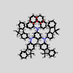 CC1(C)c2ccccc2-c2cc(N3c4cc5c(cc4B4c6cc7c(cc6N(c6ccc8c(c6)-c6ccccc6C8(C)C)c6cc(N(c8ccccc8-c8ccccc8)c8ccccc8-c8ccccc8)cc3c64)-c3ccccc3C7(C)C)C(C)(C)c3ccccc3-5)ccc21